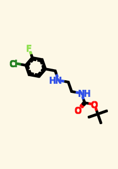 CC(C)(C)OC(=O)NCCNCc1ccc(Cl)c(F)c1